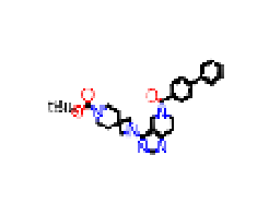 CC(C)(C)OC(=O)N1CCC2(CC1)CN(c1ncnc3c1CN(C(=O)c1ccc(-c4ccccc4)cc1)CC3)C2